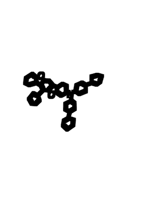 C1=C2Oc3c(cc4oc5ccccc5c4c3-c3ccccc3)C2CC=C1N(c1ccc(-c2ccccc2)cc1)c1ccc(-c2ccccc2)cc1